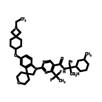 CC1CCCC(C(NC(=O)c2cnc(N3CC4(CCOCC4)c4cc(OC5CCC6(CC5)CN(CC(F)(F)F)C6)ccc43)nc2C(C)(F)F)(C(=O)O)C(C)C)C1